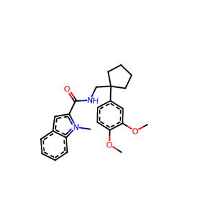 COc1ccc(C2(CNC(=O)c3cc4ccccc4n3C)CCCC2)cc1OC